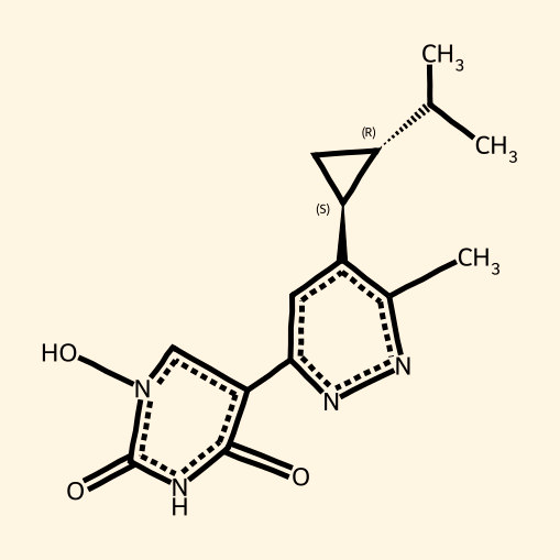 Cc1nnc(-c2cn(O)c(=O)[nH]c2=O)cc1[C@H]1C[C@@H]1C(C)C